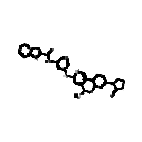 CC1Oc2cc(N3CCCC3=O)ccc2-c2cnc(Nc3cncc(NC(=O)c4cn5ccccc5n4)c3)cc21